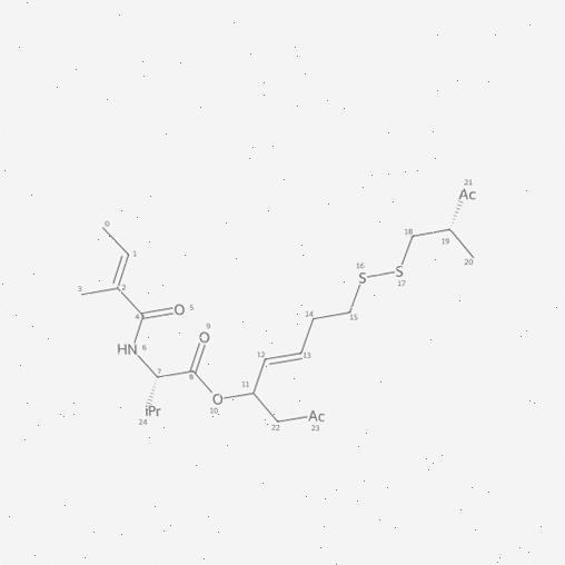 C/C=C(\C)C(=O)N[C@H](C(=O)OC(/C=C/CCSSC[C@@H](C)C(C)=O)CC(C)=O)C(C)C